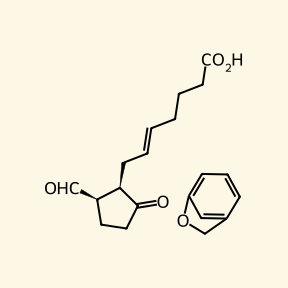 O=C[C@@H]1CCC(=O)[C@@H]1CC=CCCCC(=O)O.c1cc2cc(c1)OC2